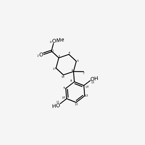 COC(=O)C1CCC(C)(c2cc(O)ccc2O)CC1